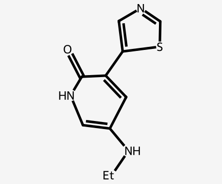 CCNc1c[nH]c(=O)c(-c2cncs2)c1